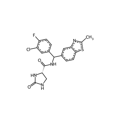 Cc1nc2cc(C(NC(=O)[C@@H]3CNC(=O)N3)c3ccc(F)c(Cl)c3)ccc2s1